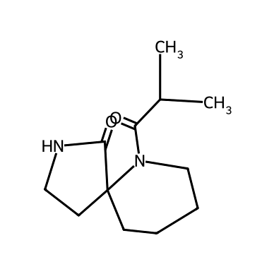 CC(C)C(=O)N1CCCCC12CCNC2=O